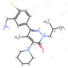 Cc1c(-c2ccc(F)c(CN)c2)nn(CC(C)C)c(=O)c1N1CCCCC1